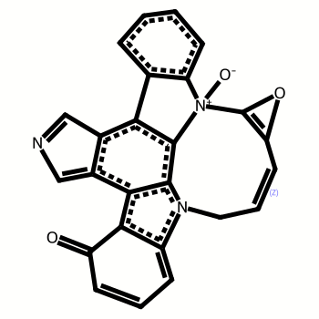 O=C1C=CC=c2c1c1c3c(c4c5c1n2C/C=C\C1=C(O1)[N+]5([O-])c1ccccc1-4)C=NC=3